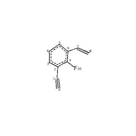 C#Cc1cccc([C]=C)c1F